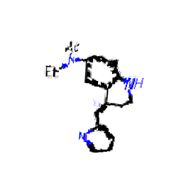 CCN(C(C)=O)c1ccc2c(c1)/C(=C/C1=CCC=N1)CCN2